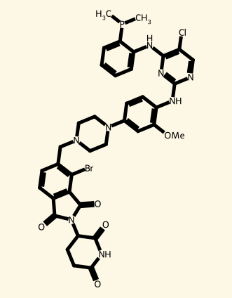 COc1cc(N2CCN(Cc3ccc4c(c3Br)C(=O)N(C3CCC(=O)NC3=O)C4=O)CC2)ccc1Nc1ncc(Cl)c(Nc2ccccc2P(C)C)n1